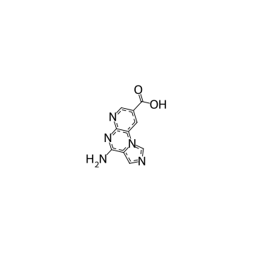 Nc1nc2ncc(C(=O)O)cc2n2cncc12